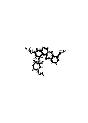 C#Cc1cccc(Nc2ncnc3cc(OC)c(O[C@@H]4CCN(C)CC4(F)F)cc23)c1F